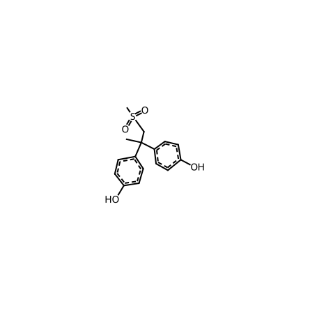 CC(CS(C)(=O)=O)(c1ccc(O)cc1)c1ccc(O)cc1